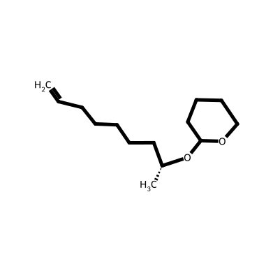 C=CCCCCC[C@@H](C)OC1CCCCO1